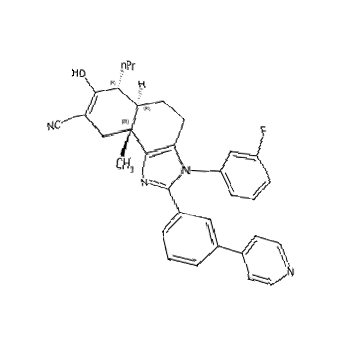 CCC[C@H]1C(O)=C(C#N)C[C@@]2(C)c3nc(-c4cccc(-c5ccncc5)c4)n(-c4cccc(F)c4)c3CC[C@H]12